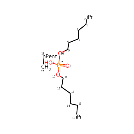 CC(C)CCCCCOP(=O)(O)OCCCCCC(C)C.CCCCCC